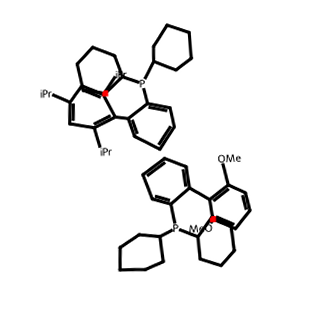 CC(C)c1cc(C(C)C)c(-c2ccccc2P(C2CCCCC2)C2CCCCC2)c(C(C)C)c1.COc1cccc(OC)c1-c1ccccc1P(C1CCCCC1)C1CCCCC1